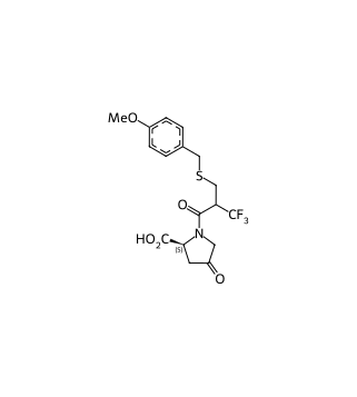 COc1ccc(CSCC(C(=O)N2CC(=O)C[C@H]2C(=O)O)C(F)(F)F)cc1